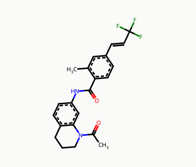 CC(=O)N1CCCc2ccc(NC(=O)c3ccc(C=CC(F)(F)F)cc3C)cc21